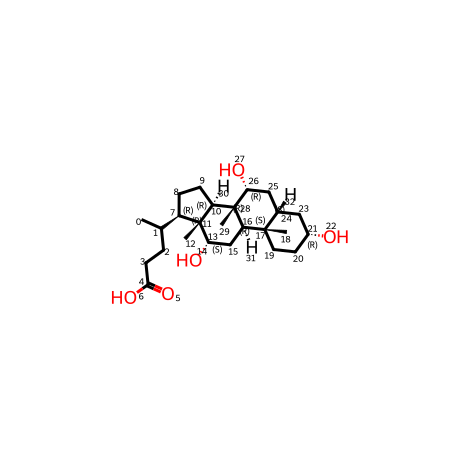 CC(CCC(=O)O)[C@H]1CC[C@@H]2[C@]1(C)[C@@H](O)C[C@@H]1[C@@]3(C)CC[C@@H](O)C[C@H]3C[C@@H](O)[C@@]21C